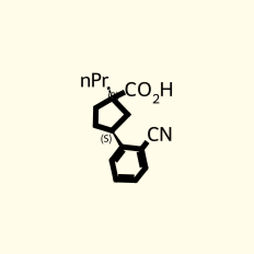 CCC[C@@]1(C(=O)O)CC[C@H](c2ccccc2C#N)C1